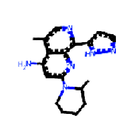 Cc1cnc(-c2ccn[nH]2)c2nc(N3CCCCC3C)cc(N)c12